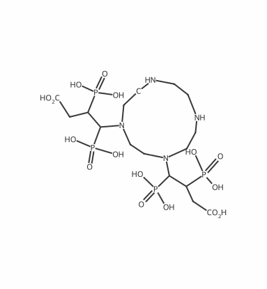 O=C(O)CC(C(N1CCNCCNCCN(C(C(CC(=O)O)P(=O)(O)O)P(=O)(O)O)CC1)P(=O)(O)O)P(=O)(O)O